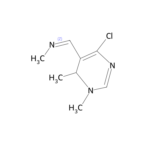 C/N=C\C1=C(Cl)N=CN(C)C1C